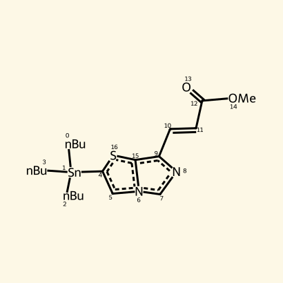 CCC[CH2][Sn]([CH2]CCC)([CH2]CCC)[c]1cn2cnc(C=CC(=O)OC)c2s1